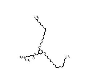 CCCCC/C=C\C/C=C\CCCCCCCCOc1cc(COC(=O)CCCN(C)C)cc(OCCCCCCCC/C=C\CCCCCCCC)c1